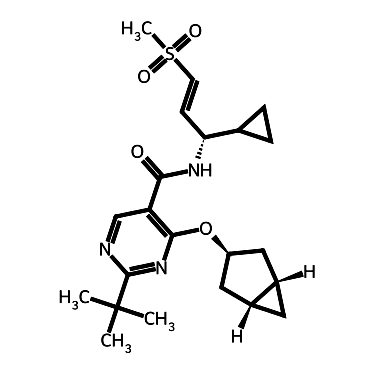 CC(C)(C)c1ncc(C(=O)N[C@H](/C=C/S(C)(=O)=O)C2CC2)c(O[C@H]2C[C@@H]3C[C@@H]3C2)n1